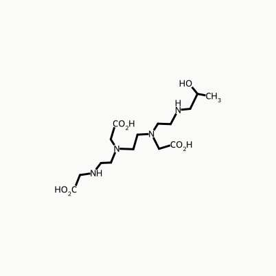 CC(O)CNCCN(CCN(CCNCC(=O)O)CC(=O)O)CC(=O)O